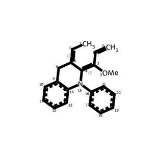 C=C/C(OC)=C1\C(=C/C)Cc2ccccc2N1c1ccccc1